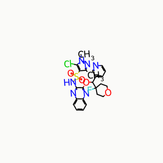 Cc1nn(C)c(Cl)c1S(=O)(=O)Nc1nc2ccccc2nc1OC(c1cccnc1)C1(F)CCOCC1